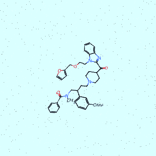 COc1cccc(C(CCN2CCC(C(=O)c3nc4ccccc4n3CCOCc3ccco3)CC2)CN(C)C(=O)c2ccccc2)c1